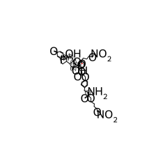 C[C@]12C=CC(=O)C=C1CCC1C3C[C@@H](O)[C@](OC(=O)CCCO[N+](=O)[O-])(C(=O)COC(=O)Oc4ccc(C[C@H](N)C(=O)OCCCCO[N+](=O)[O-])cc4)[C@@]3(C)C[C@H](O)[C@@]12F